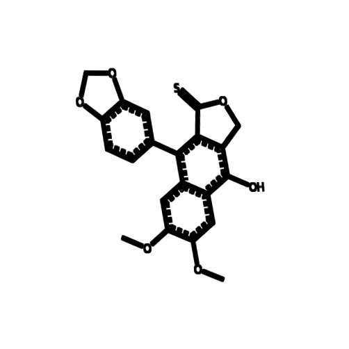 COc1cc2c(O)c3c(c(-c4ccc5c(c4)OCO5)c2cc1OC)C(=S)OC3